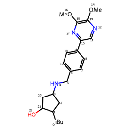 CCC(C)C1CC(NCc2ccc(-c3cnc(OC)c(OC)n3)cc2)CC1O